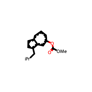 COC(=O)Oc1cccc2ccc(CC(C)C)c-2c1